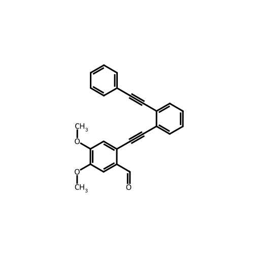 COc1cc(C#Cc2ccccc2C#Cc2ccccc2)c(C=O)cc1OC